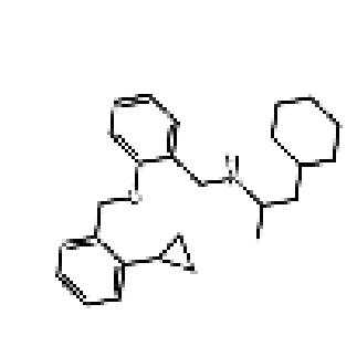 CC(CC1CCCCC1)NCc1ccccc1OCc1ccccc1C1CC1